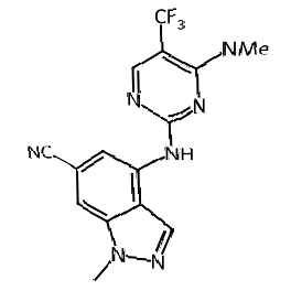 CNc1nc(Nc2cc(C#N)cc3c2cnn3C)ncc1C(F)(F)F